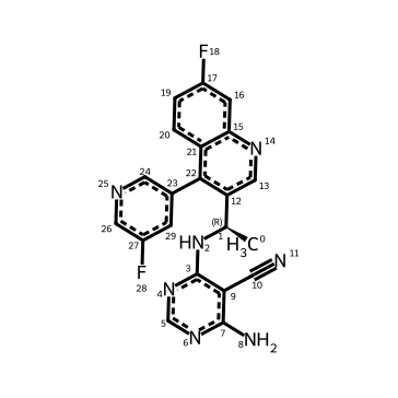 C[C@@H](Nc1ncnc(N)c1C#N)c1cnc2cc(F)ccc2c1-c1cncc(F)c1